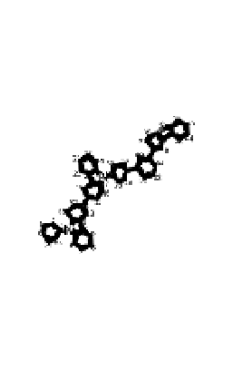 c1ccc(-n2c3ccccc3c3cc(-c4ccc5c(c4)c4ccccc4n5-c4ccc(-c5cccc(-c6ccc7sc8ccccc8c7c6)c5)cc4)ccc32)cc1